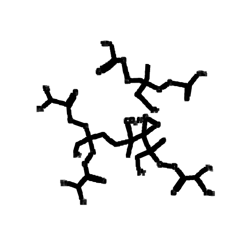 CC(C)CC(C)(OOC(=O)C(C)(C)C)OOC(=O)C(C)(C)C.CCCCC(CC)C(=O)OOC(C)(CC(C)C)C1(C(C)(CCC(CC(C)C)(OOC(=O)C(CC)CC)OOC(=O)C(CC)CC)C(=O)O)OO1